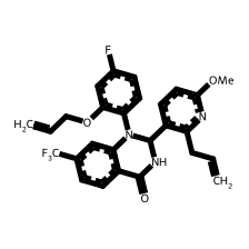 C=CCOc1cc(F)ccc1N1c2cc(C(F)(F)F)ccc2C(=O)NC1c1ccc(OC)nc1CC=C